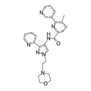 Cc1ccc(C(=O)Nc2cn(CCN3CCOCC3)nc2-c2ccccn2)nc1-c1cccnc1